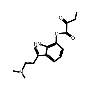 CCC(=O)C(=O)Oc1cccc2c(CCN(C)C)c[nH]c12